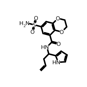 C=CCC(NC(=O)c1cc(S(N)(=O)=O)cc2c1OCCO2)c1ccc[nH]1